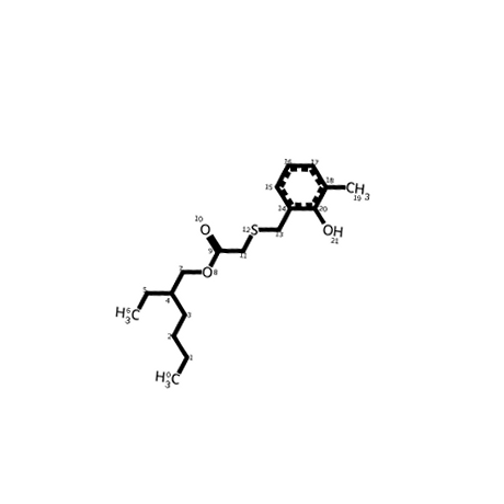 CCCCC(CC)COC(=O)CSCc1cccc(C)c1O